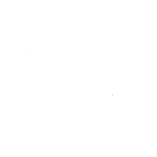 O=C(CCNC(=O)C(Cc1ccccc1)CP(=O)(O)O)OCCOc1ccc2ccccc2c1